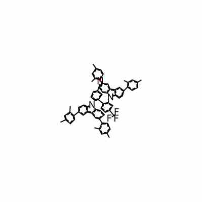 Cc1ccc(-c2ccc3c(c2)c2cc(-c4ccc(C)cc4C)ccc2n3-c2ccc(C#N)cc2-c2ccc(C(F)(F)F)cc2-n2c3ccc(-c4ccc(C)cc4C)cc3c3cc(-c4ccc(C)cc4C)ccc32)c(C)c1